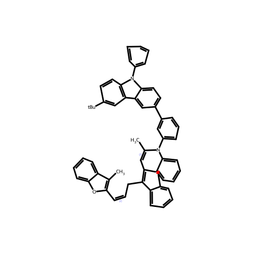 C/C(=C/c1oc2ccccc2c1C/C=C\c1oc2ccccc2c1C)N(c1ccccc1)c1cccc(-c2ccc3c(c2)c2cc(C(C)(C)C)ccc2n3-c2ccccc2)c1